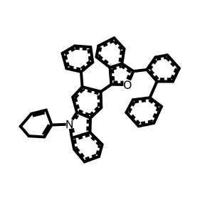 C1=CC(n2c3ccccc3c3cc(-c4oc(-c5ccccc5-c5ccccc5)c5ccccc45)c(-c4ccccc4)cc32)=CCC1